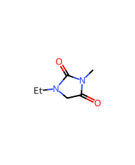 CCN1CC(=O)N(C)C1=O